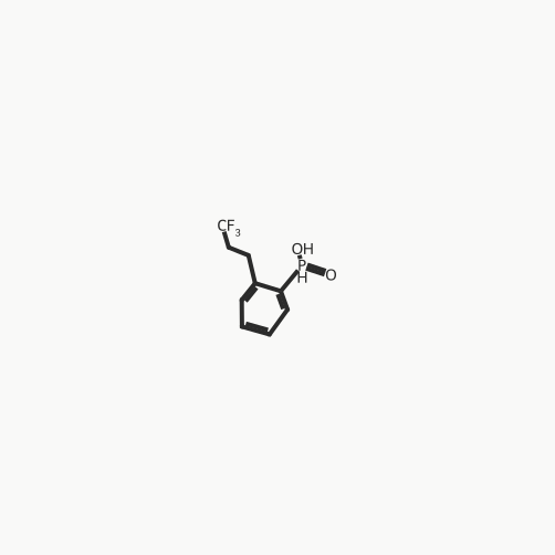 O=[PH](O)c1ccccc1CCC(F)(F)F